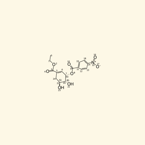 CCOC(=O)C1=C[C@H](OC(=O)c2ccc([N+](=O)[O-])cc2)[C@H](O)[C@@H](O)C1